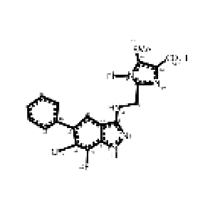 CCn1c(CNc2n[nH]c3c(F)c(Cl)c(-c4ccccc4)cc23)nc(C(=O)O)c1SC